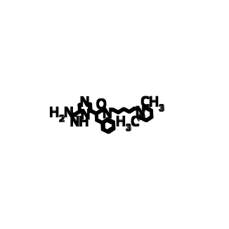 C[C@@H]1CCC[C@H](C)N1CCCCCN1C(=O)C(c2cncc(C(=N)N)n2)Cc2ccccc21